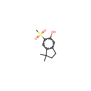 CC1(C)CCc2cc(O)c(S(C)(=O)=O)cc21